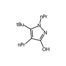 CCCc1c(O)nn(CCC)c1C(C)(C)C